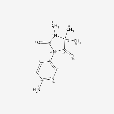 CN1C(=O)N(c2ccc(N)nc2)C(=O)C1(C)C